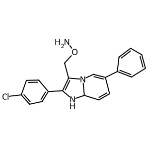 NOCC1=C(c2ccc(Cl)cc2)NC2C=CC(c3ccccc3)=CN12